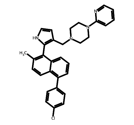 Cc1ccc2c(-c3ccc(Cl)cc3)cccc2c1-c1[nH]ccc1CN1CCN(c2ccccn2)CC1